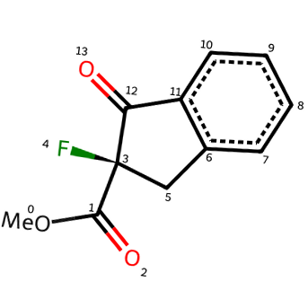 COC(=O)[C@@]1(F)Cc2ccccc2C1=O